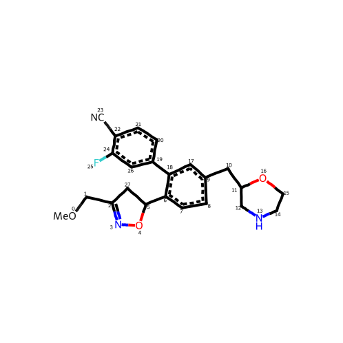 COCC1=NOC(c2ccc(CC3CNCCO3)cc2-c2ccc(C#N)c(F)c2)C1